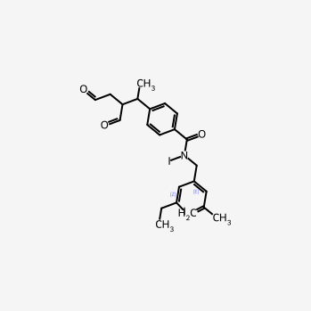 C=C(C)/C=C(\C=C(/I)CC)CN(I)C(=O)c1ccc(C(C)C(C=O)CC=O)cc1